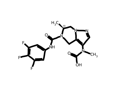 C[C@H]1Cn2ncc(N(C)C(=O)O)c2CN1C(=O)Nc1cc(F)c(F)c(F)c1